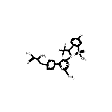 CS(=O)(=O)c1cc(Cl)ccc1C(Oc1cc(-c2ccc(CC(N)C(=O)O)cc2)nc(N)n1)C(F)(F)F